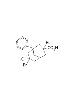 CCC1(C(=O)O)CC2CC(C)(Br)CC(c3ccccc3)(C2)C1